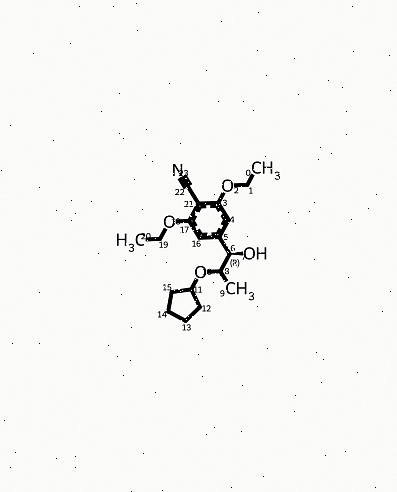 CCOc1cc([C@@H](O)[C](C)OC2CCCC2)cc(OCC)c1C#N